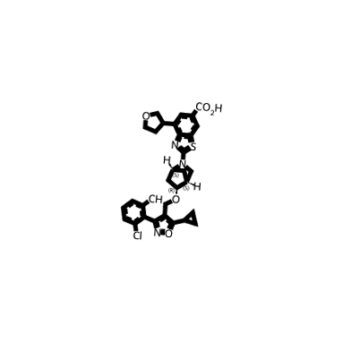 Cc1cccc(Cl)c1-c1noc(C2CC2)c1CO[C@@H]1C[C@@H]2C[C@H]1CN2c1nc2c(C3CCOC3)cc(C(=O)O)cc2s1